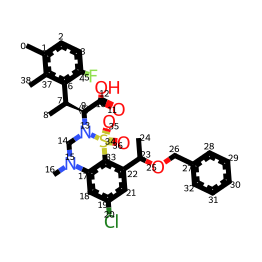 Cc1ccc(F)c(C(C)[C@@H](C(=O)O)N2CN(C)c3cc(Cl)cc(C(C)OCc4ccccc4)c3S2(=O)=O)c1C